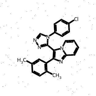 Cc1ccc(C)c(-c2nc3ccccn3c2-c2nncn2-c2ccc(Cl)cc2)c1